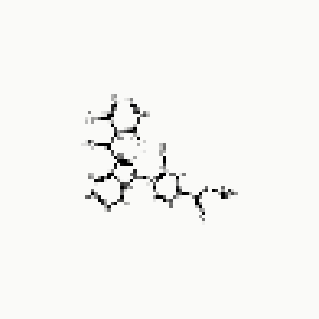 CCCOC(=O)c1ccc(-n2cc(C(=O)c3c(Cl)cccc3Cl)c3ccccc32)c(F)c1